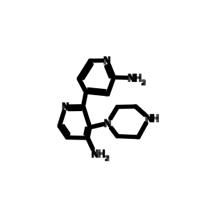 Nc1cc(-c2nccc(N)c2N2CCNCC2)ccn1